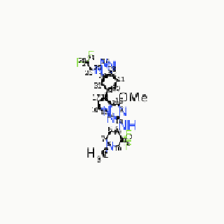 COc1nc(N[C@@H]2CCN(C)CC2(F)F)nn2ccc(-c3ccc4nnn(CC(F)F)c4c3)c12